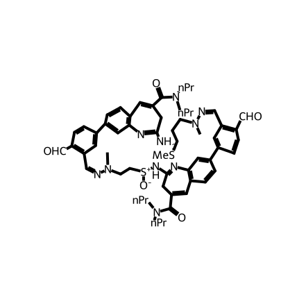 CCCN(CCC)C(=O)C1=Cc2ccc(-c3ccc(C=O)c(/C=N\N(C)CC[S+]([O-])NC4=Nc5cc(-c6ccc(C=O)c(/C=N\N(C)CCCSC)c6)ccc5C=C(C(=O)N(CCC)CCC)C4)c3)cc2N=C(N)C1